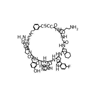 NCCCC[C@@H]1NC(=O)CCSCc2cccc(c2)CSC[C@@H](C(N)=O)NC(=O)[C@@H]2CCCN2C(=O)[C@H](Cc2ccc(O)cc2)NC(=O)[C@H](Cc2c[nH]cn2)NC(=O)[C@H](CC(=O)O)NC(=O)[C@H](Cc2c[nH]c3ccc(F)cc23)NC(=O)[C@H](CC2CCCCC2)NC(=O)CNC1=O